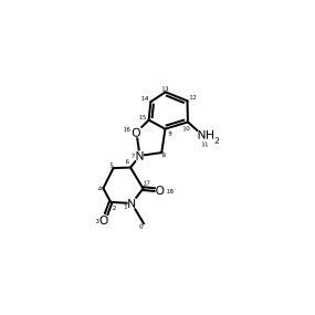 CN1C(=O)CCC(N2Cc3c(N)cccc3O2)C1=O